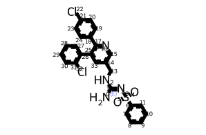 N/C(=N\S(=O)(=O)c1ccccc1)NCc1cnc(-c2ccc(Cl)cc2)c(-c2ccccc2Cl)c1